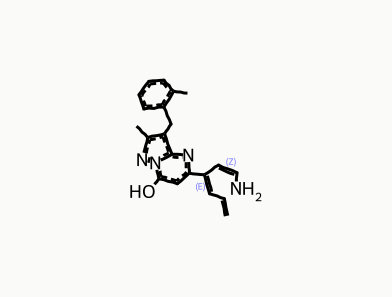 C=C/C=C(\C=C/N)c1cc(O)n2nc(C)c(Cc3ccccc3C)c2n1